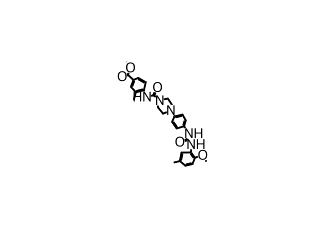 COC(=O)c1ccc(NC(=O)N2CCN(c3ccc(NC(=O)Nc4cc(C)ccc4OC)cc3)CC2)c(C)c1